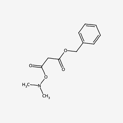 CN(C)OC(=O)CC(=O)OCc1ccccc1